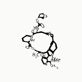 CCn1c(-c2cccnc2[C@H](C)OC)c2c3cc(ccc31)C1CSC(=N1)C[C@H](NC(=O)O[C@@H]1CCOC1)C(=O)N1CCC[C@H](N1)C(=O)OCC(C)(C)C2